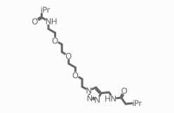 CC(C)CC(=O)NCc1cn(CCOCCOCCOCCNC(=O)C(C)C)nn1